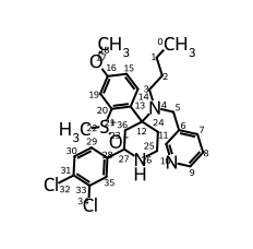 CCCCN(Cc1cccnc1)C1(c2ccc(OC)cc2[S+](C)[O-])CCNC(c2ccc(Cl)c(Cl)c2)C1